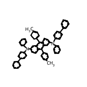 CC1=CC=C(c2c3cc(N(c4ccccc4)c4ccc(-c5ccccc5)cc4)ccc3c(-c3ccc(C)cc3)c3cc(N(c4ccccc4)c4ccc(-c5ccccc5)cc4)ccc23)CC1